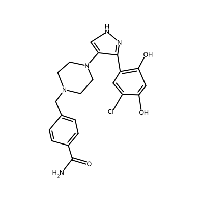 NC(=O)c1ccc(CN2CCN(c3c[nH]nc3-c3cc(Cl)c(O)cc3O)CC2)cc1